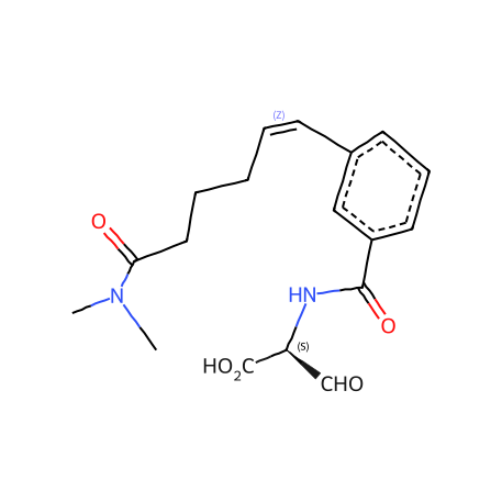 CN(C)C(=O)CCC/C=C\c1cccc(C(=O)N[C@@H](C=O)C(=O)O)c1